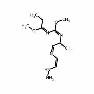 CC/C(=N\C(=N/C(C)/C=N\C=C/NN)OC)OC